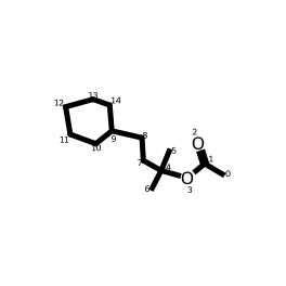 CC(=O)OC(C)(C)CCC1CCCCC1